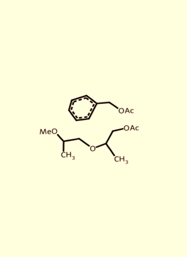 CC(=O)OCc1ccccc1.COC(C)COC(C)COC(C)=O